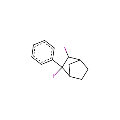 IC1C2CCC(C2)C1(I)c1ccccc1